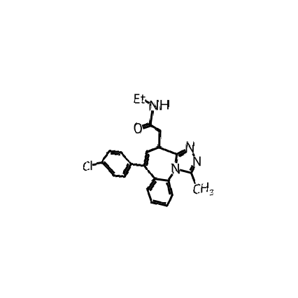 CCNC(=O)CC1C=C(c2ccc(Cl)cc2)c2ccccc2-n2c(C)nnc21